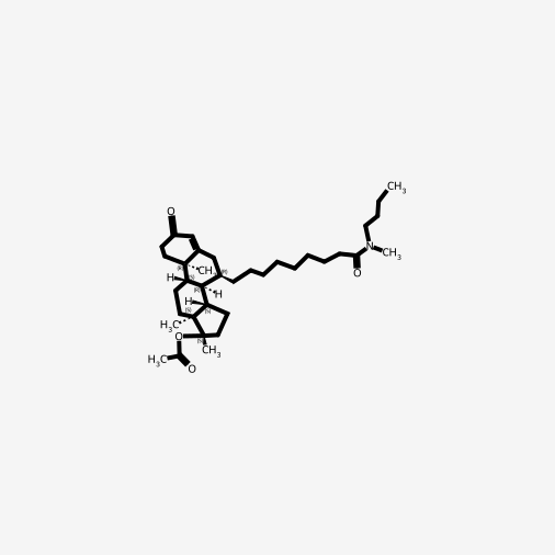 CCCCN(C)C(=O)CCCCCCCC[C@@H]1CC2=CC(=O)CC[C@]2(C)[C@H]2CC[C@@]3(C)[C@@H](CC[C@]3(C)OC(C)=O)[C@H]12